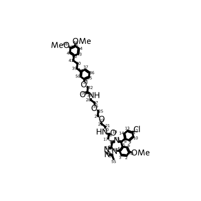 COc1ccc2c(c1)C(c1ccc(Cl)cc1)=N[C@@H](CC(=O)NCCOCCOCCNC(=O)COc1cccc([CH]CCc3ccc(OC)c(OC)c3)c1)c1nnc(C)n1-2